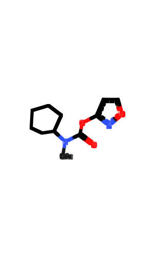 CC(=O)ON(C(=O)Oc1ccon1)C1CCCCC1